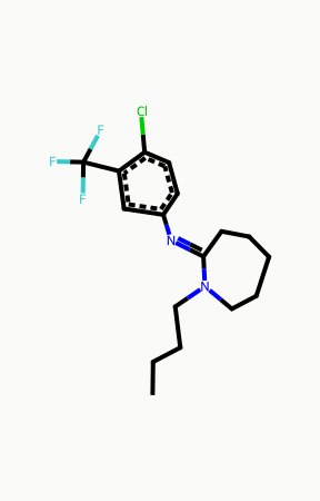 CCCCN1CCCCCC1=Nc1ccc(Cl)c(C(F)(F)F)c1